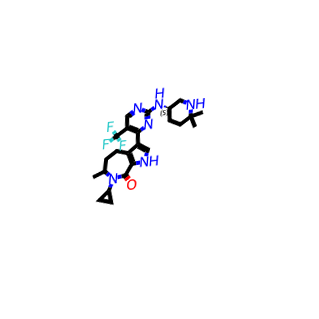 CC1CCc2c(-c3nc(N[C@H]4CCC(C)(C)NC4)ncc3C(F)(F)F)c[nH]c2C(=O)N1C1CC1